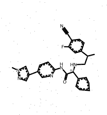 CC(CN[C@H](C(=O)Nc1ccc(-c2cnn(C)c2)cn1)c1ccccc1)c1ccc(C#N)c(F)c1